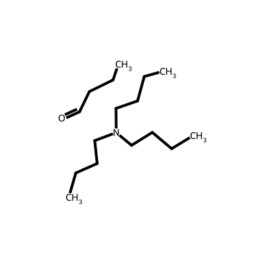 CCCC=O.CCCCN(CCCC)CCCC